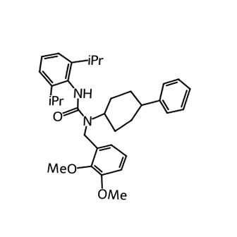 COc1cccc(CN(C(=O)Nc2c(C(C)C)cccc2C(C)C)C2CCC(c3ccccc3)CC2)c1OC